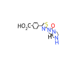 O=C(O)c1ccc(-c2csc(N3C[C@@H]4CNCCN4C3=O)n2)cc1